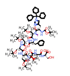 CC(C)[C@H](NC(=O)[C@H](CC(=O)OC(C)(C)C)NC(=O)[C@H](COC(C)(C)C)NC(=O)[C@@H](NC(=O)[C@H](Cc1ccccc1)NC(=O)[C@H]([C@@H](C)OC(C)(C)C)N(I)C(=O)[C@H](Cc1cn(C(c2ccccc2)(c2ccccc2)c2ccccc2)cn1)NC(=O)OC(C)(C)C)[C@@H](C)OC(C)(C)C)C(=O)N[C@@H](COC(C)(C)C)C(=O)N[C@@H](CO)C(=O)O